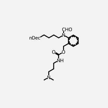 CCCCCCCCCCCCCCN(C=O)c1ccccc1COC(=O)NCCCN(C)C